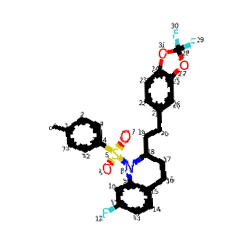 Cc1ccc(S(=O)(=O)N2c3cc(F)ccc3CCC2CCc2ccc3c(c2)OC(F)(F)O3)cc1